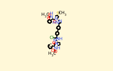 COC(=O)N[C@H](C(=O)N1C[C@H](SC)C[C@@H]1c1ncc(-c2ccc(-c3ccc(-c4[nH]c([C@@H]5CCCN5C(=O)[C@@H](NC(=O)OC)c5ccccc5)nc4Cl)cc3)cc2)[nH]1)c1ccccc1